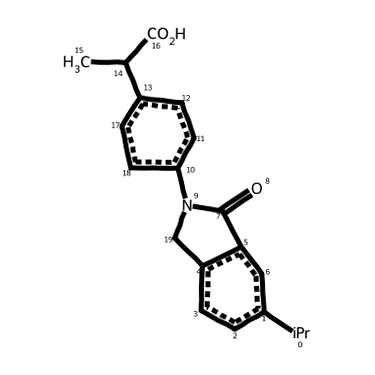 CC(C)c1ccc2c(c1)C(=O)N(c1ccc(C(C)C(=O)O)cc1)C2